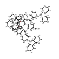 Cc1cc(-c2c(-n3c4cc(-n5c6ccccc6c6ccccc65)ccc4c4ccc(-n5c6ccccc6c6ccccc65)cc43)cc(C#N)cc2-n2c3cc(-n4c5ccccc5c5ccccc54)ccc3c3ccc(-n4c5ccccc5c5ccccc54)cc32)nc(C)n1